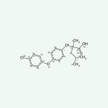 CC(C)CC(C)(Oc1ccc(Oc2ccc(Cl)cc2)cc1)C(=O)O